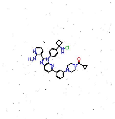 Nc1ncccc1-c1nc2ccc(-c3cccc(N4CCN(C(=O)C5CC5)CC4)c3)nc2n1-c1ccc(C2(NCl)CCC2)cc1